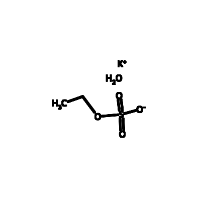 CCOS(=O)(=O)[O-].O.[K+]